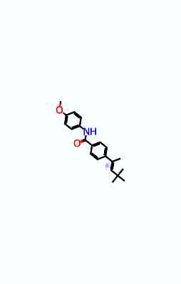 COc1ccc(NC(=O)c2ccc(/C(C)=C/C(C)(C)C)cc2)cc1